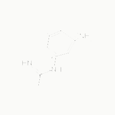 CC(=N)Nc1cccc(N)c1